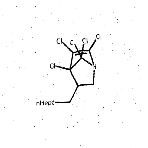 CCCCCCCCC1CN2C(Cl)=C(Cl)C1(Cl)C2(Cl)Cl